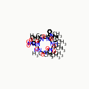 C/C=C/C[C@@H]1NC(=O)[C@H](CC(C)C)N2C(=O)[C@H](CC(C)[C@H]2OC)N(C)C(=O)[C@H](C)NC(=O)[C@H](Cc2ccc(OC)c([N+](=O)[O-])c2)NC(=O)[C@H](CC(C)C)N(C)C(=O)[C@H](Cc2cn(C(C)(C)C3CC3)c3ccccc23)N(C)C1=O